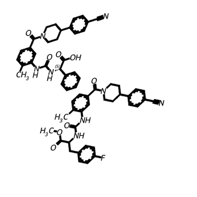 COC(=O)C(Cc1ccc(F)cc1)NC(=O)Nc1cc(C(=O)N2CCC(c3ccc(C#N)cc3)CC2)ccc1C.Cc1ccc(C(=O)N2CCC(c3ccc(C#N)cc3)CC2)cc1NC(=O)N[C@H](C(=O)O)c1ccccc1